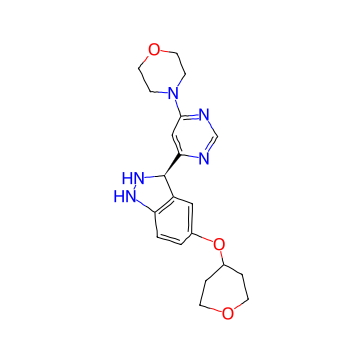 c1nc([C@@H]2NNc3ccc(OC4CCOCC4)cc32)cc(N2CCOCC2)n1